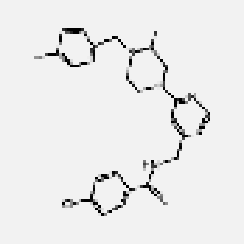 CC1CN(c2cc(CNC(=O)c3ccc(Cl)cc3)ccn2)CCN1Cc1ccc(F)cc1